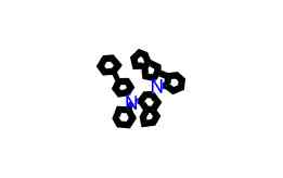 c1ccc(-c2ccc(N(c3ccccc3)c3cc(-n4c5ccccc5c5cc6ccccc6cc54)cc4ccccc34)cc2)cc1